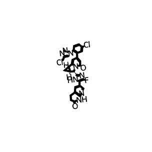 O=C1CCc2cc(-c3[nH]c([C@@H]4[C@H]5C[C@H]5c5cc(-c6cc(Cl)ccc6-n6cc(Cl)nn6)cc(=O)n54)nc3F)cnc2N1